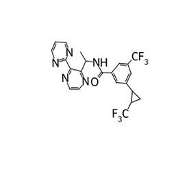 CC(NC(=O)c1cc(C2CC2C(F)(F)F)cc(C(F)(F)F)c1)c1nccnc1-c1ncccn1